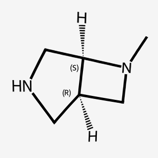 CN1C[C@H]2CNC[C@H]21